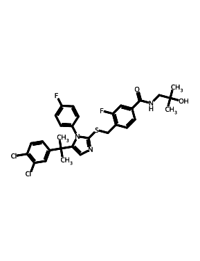 CC(C)(O)CNC(=O)c1ccc(CSc2ncc(C(C)(C)c3ccc(Cl)c(Cl)c3)n2-c2ccc(F)cc2)c(F)c1